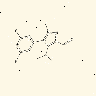 CC(C)c1c(C=O)nn(C)c1-c1cc(F)cc(F)c1